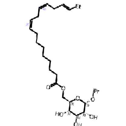 CCC=CC/C=C\C/C=C\CCCCCCCC(=O)OC[C@H]1O[C@H](OC(C)C)[C@H](O)[C@@H](O)[C@@H]1O